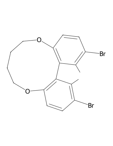 Cc1c(Br)ccc2c1-c1c(ccc(Br)c1C)OCCCCO2